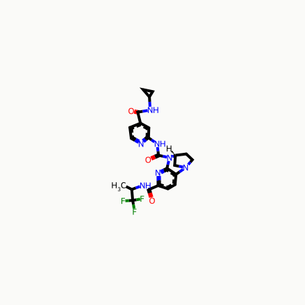 CC(NC(=O)c1ccc2c(n1)N(C(=O)Nc1cc(C(=O)NC3CC3)ccn1)[C@H]1CCN2C1)C(F)(F)F